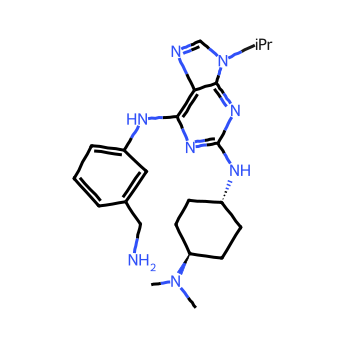 CC(C)n1cnc2c(Nc3cccc(CN)c3)nc(N[C@H]3CC[C@H](N(C)C)CC3)nc21